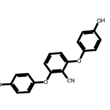 N#Cc1c(Oc2ccc(O)cc2)cccc1Oc1ccc(O)cc1